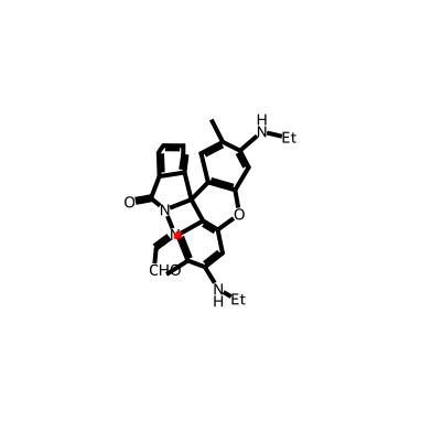 CCNc1cc2c(cc1C)C1(c3cc(C)c(NCC)cc3O2)c2ccccc2C(=O)N1/N=C/C=O